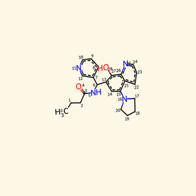 CCCC(=O)NC(c1cccnc1)c1cc(N2CCCC2)c2cccnc2c1O